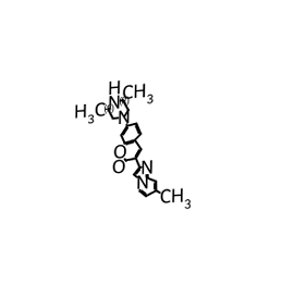 Cc1ccn2cc(-c3cc4ccc(N5C[C@@H](C)N[C@@H](C)C5)cc4oc3=O)nc2c1